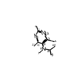 Cc1nc(C)c(N(C)C(C)C)c(C)n1